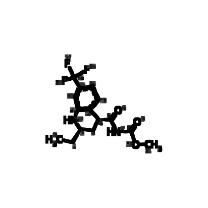 CC[C@@H]1C[C@H](C(=O)NC(=O)OC)c2ccc(C(F)(F)F)cc2N1